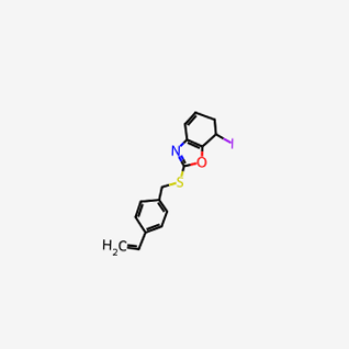 C=Cc1ccc(CSc2nc3c(o2)C(I)CC=C3)cc1